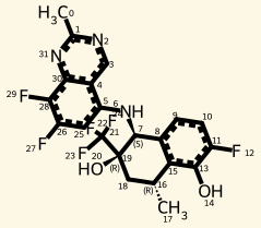 Cc1ncc2c(N[C@H]3c4ccc(F)c(O)c4[C@H](C)C[C@]3(O)C(F)(F)F)cc(F)c(F)c2n1